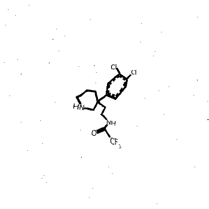 O=C(NCCC1(c2ccc(Cl)c(Cl)c2)CCCNC1)C(F)(F)F